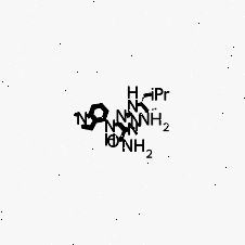 CC(C)C[C@@H](Nc1nnc(C(N)=O)c(Nc2cccc3c2ccn3C)n1)[C@H](C)N